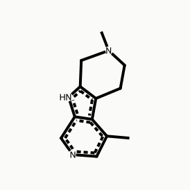 Cc1cncc2[nH]c3c(c12)CCN(C)C3